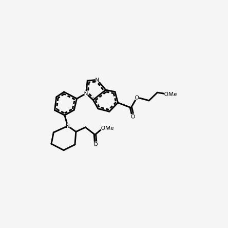 COCCOC(=O)c1ccc2c(c1)ncn2-c1cccc(N2CCCCC2CC(=O)OC)c1